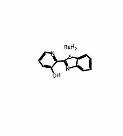 Oc1cccnc1-c1nc2ccccc2s1.[BeH2]